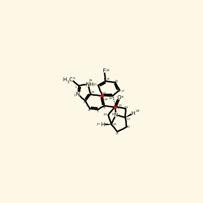 Cc1nc2ccc(C(=O)N3[C@@H]4CC[C@H]3C[C@@H](c3ccc(F)cc3)C4)cc2[nH]1